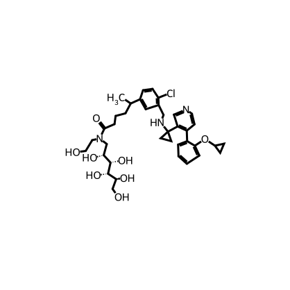 CC(CCCC(=O)N(CCO)C[C@@H](O)[C@H](O)[C@@H](O)[C@@H](O)CO)c1ccc(Cl)c(CNC2(c3cnccc3-c3ccccc3OC3CC3)CC2)c1